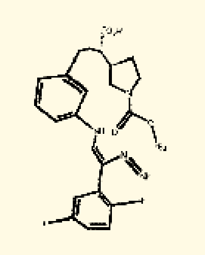 CC(C)(C)OC(=O)N1CC[C@H]([C@H](Cc2cccc(N/C=C(\N=N)c3cc(F)ccc3F)c2)C(=O)O)C1